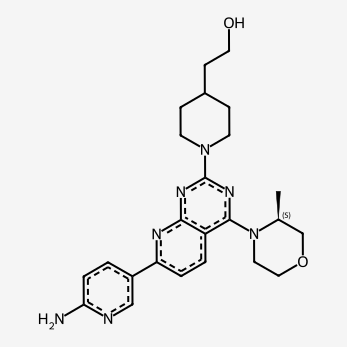 C[C@H]1COCCN1c1nc(N2CCC(CCO)CC2)nc2nc(-c3ccc(N)nc3)ccc12